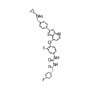 O=C(Cc1ccc(F)cc1)NC(=O)Nc1ccc(Oc2ccnc3cc(-c4ccc(CNC5CC5)cc4)sc23)c(F)c1